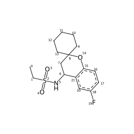 CCS(=O)(=O)NC1CC2(CCCCC2)Oc2ccc(F)cc21